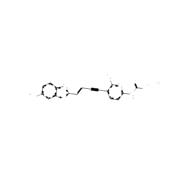 CCOc1ccc2nc(/C=C/C#Cc3ccc(N(C)C(=O)OC(C)(C)C)nc3N=O)sc2c1